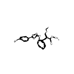 COC(=O)/C(=C\OCF)c1ccccc1Oc1nc(-c2ccc(Br)cc2)ns1